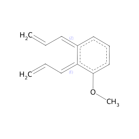 C=C/C=c1/cccc(OC)/c1=C/C=C